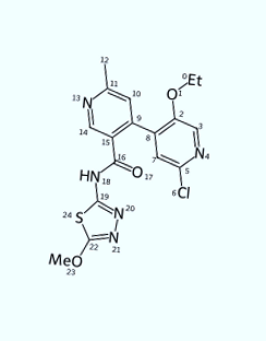 CCOc1cnc(Cl)cc1-c1cc(C)ncc1C(=O)Nc1nnc(OC)s1